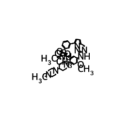 COc1cc(N2CCC(N3CCN(C)CC3)CC2)ccc1Nc1ncc2ccc(-c3cccc(S(=O)(=O)NC(C)(C)C)c3)n2n1